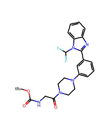 CC(C)(C)OC(=O)NCC(=O)N1CCN(c2cccc(-c3nc4ccccc4n3C(F)F)c2)CC1